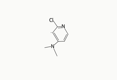 CN(C)c1[c]c(Cl)ncc1